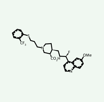 COc1ccc2nccc([C@H](F)CC[C@@H]3CCN(CCCSc4ccccc4C(F)(F)F)C[C@@H]3C(=O)O)c2c1